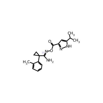 Cc1ccccc1C1(/C(N)=N/OC(=O)c2cc(C(C)C)[nH]n2)CC1